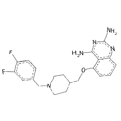 Nc1nc(N)c2c(OCC3CCN(Cc4ccc(F)c(F)c4)CC3)cccc2n1